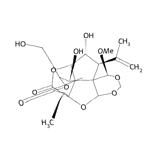 C=C(C)[C@@H]1[C@@H](O)C2OC(=O)C34OC5OCO[C@H](OC)C51C23[C@@H](O)C(CO)OC(=O)[C@H]4C